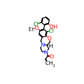 C=CC(=O)N1CCN2Cc3cc(OCC)c(-c4c(O)cccc4Cl)c(Cl)c3OC[C@H]2C1